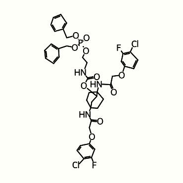 O=C(COc1ccc(Cl)c(F)c1)NC12CCC(NC(=O)COc3ccc(Cl)c(F)c3)(CC1)C(OC(=O)NCCOP(=O)(OCc1ccccc1)OCc1ccccc1)C2